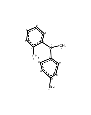 Cc1ccccc1N(C)c1ccc(C(C)(C)C)cc1